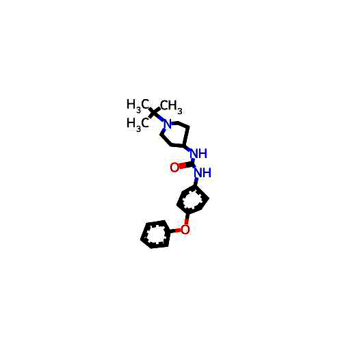 CC(C)(C)N1CCC(NC(=O)Nc2ccc(Oc3ccccc3)cc2)CC1